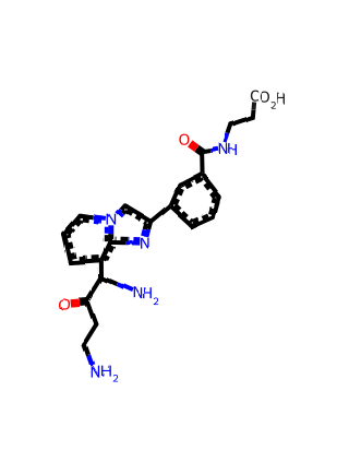 NCCC(=O)C(N)c1cccn2cc(-c3cccc(C(=O)NCCC(=O)O)c3)nc12